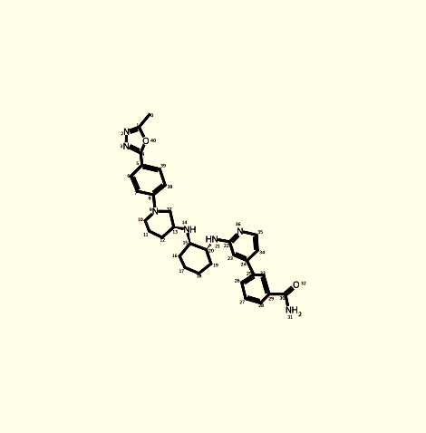 Cc1nnc(-c2ccc(N3CCC[C@H](N[C@@H]4CCCC[C@H]4Nc4cc(-c5cccc(C(N)=O)c5)ccn4)C3)cc2)o1